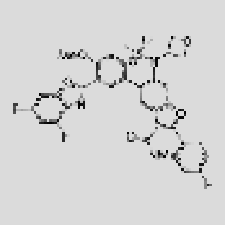 CNC(=O)c1c(-c2ccc(F)cc2)oc2cc(N(C3COC3)S(C)(=O)=O)c(-c3ccc(OC)c(-c4nc5c(F)cc(F)cc5o4)c3)cc12